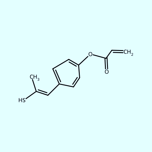 C=CC(=O)Oc1ccc(/C=C(\C)S)cc1